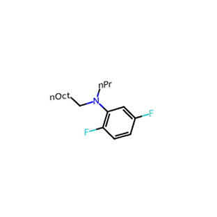 CCCCCCCCCN(CCC)c1cc(F)ccc1F